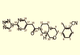 Cc1c(C#N)cccc1[C@H]1CN2CCN(C(=O)Cc3cnc(-n4cnnn4)nc3)C[C@H]2CO1